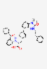 CN(C(=O)NCCc1ccccc1)c1cccc(-c2ccc(CC(Nc3ccccc3C(=O)c3ccccc3)C(=O)O)cc2)c1